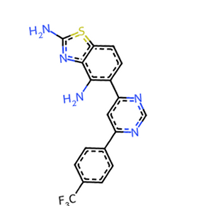 Nc1nc2c(N)c(-c3cc(-c4ccc(C(F)(F)F)cc4)ncn3)ccc2s1